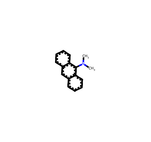 CN(C)c1c2ccccc2[c]c2ccccc12